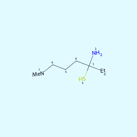 CCC(N)(S)CCCNC